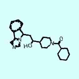 O=C(C1CCCCC1)N1CCC(C(O)CC2c3ccccc3-c3cncn32)CC1